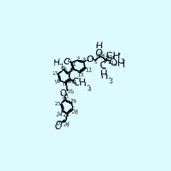 Cc1cc(OC[C@@H](O)C(C)(C)O)ccc1-c1cccc(COc2ccc(C=O)cc2)c1C